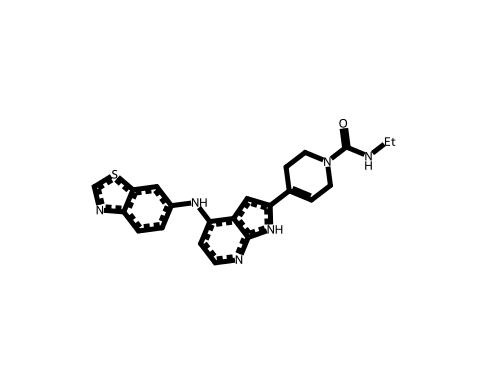 CCNC(=O)N1CC=C(c2cc3c(Nc4ccc5ncsc5c4)ccnc3[nH]2)CC1